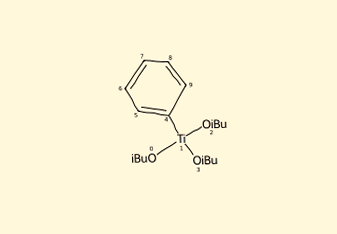 CC(C)C[O][Ti]([O]CC(C)C)([O]CC(C)C)[c]1ccccc1